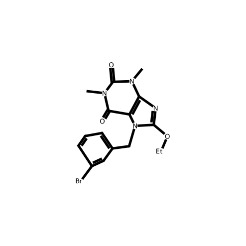 CCOc1nc2c(c(=O)n(C)c(=O)n2C)n1Cc1cccc(Br)c1